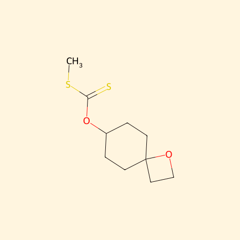 CSC(=S)OC1CCC2(CCO2)CC1